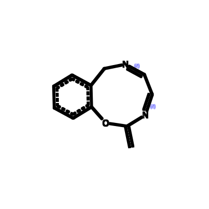 C=C1/N=C\C=N/Cc2ccccc2O1